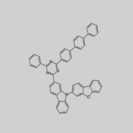 c1ccc(-c2ccc(-c3ccc(-c4nc(-c5ccccc5)nc(-c5ccc6c7ccccc7n(-c7ccc8c(c7)oc7ccccc78)c6c5)n4)cc3)cc2)cc1